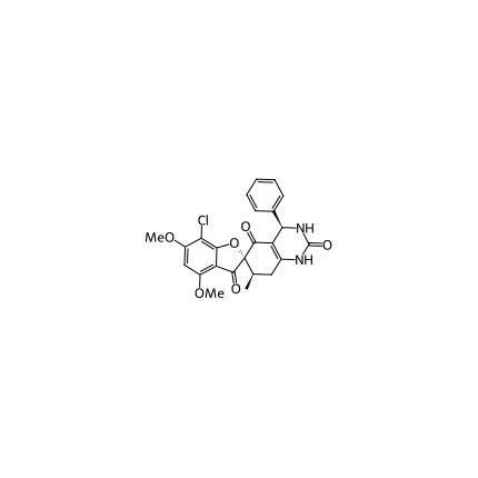 COc1cc(OC)c2c(c1Cl)O[C@@]1(C(=O)C3=C(C[C@H]1C)NC(=O)N[C@@H]3c1ccccc1)C2=O